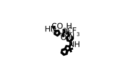 CN(C(=O)[C@@H]1CC[C@H](NC(=O)O)C1)[C@@H](c1ccc(NC2Cc3ccccc3C2(C)C)cn1)C(F)(F)F